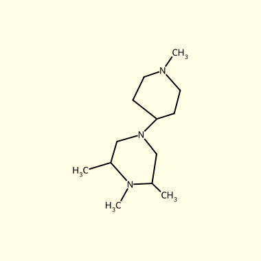 CC1CN(C2CCN(C)CC2)CC(C)N1C